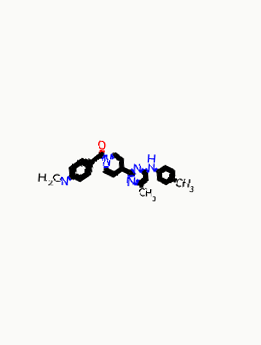 C=Nc1ccc(C(=O)N2CCC(c3nc(C)cc(Nc4ccc(C)cc4)n3)CC2)cc1